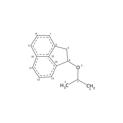 CC(C)OC1Cc2cccc3cccc1c23